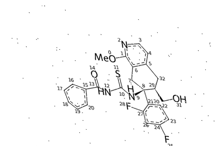 COc1nccc2c1C[C@@](NC(=S)NC(=O)c1ccccc1)(c1ccc(F)cc1F)[C@H](CO)C2